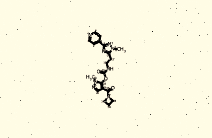 Cn1nc(-c2ccncc2)nc1CCNC(=O)Oc1c(C(=O)N2CCC2)cnn1C